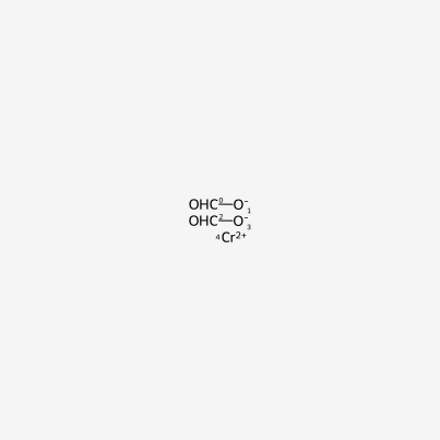 O=C[O-].O=C[O-].[Cr+2]